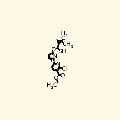 CCOC(=O)c1ccc(-n2ccc(OC(S)C3CC3(C)C)n2)nc1Cl